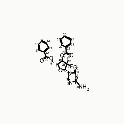 Nc1ncn([C@@H]2O[C@H](COC(=O)c3ccccc3)[C@@H](OC(=O)c3ccccc3)C2(F)F)c(=O)n1